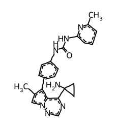 Cc1cccc(NC(=O)Nc2ccc(-c3c(C)cn4ncnc(C5(N)CC5)c34)cc2)n1